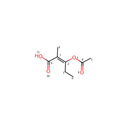 CC/C(OC(C)=O)=C(/C)C(=O)O